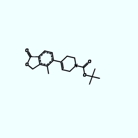 Cc1c(C2=CCN(C(=O)OC(C)(C)C)CC2)ccc2c1COC2=O